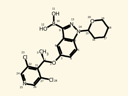 C[C@@H](Oc1ccc2c(c1)c(B(O)O)nn2C1CCCCO1)c1c(Cl)cncc1Cl